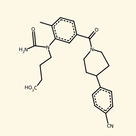 Cc1ccc(C(=O)N2CCC(c3ccc(C#N)cc3)CC2)cc1N(CCCC(=O)O)C(N)=O